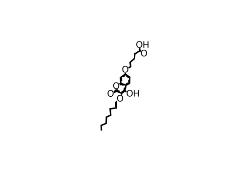 CCCCCC/C=C/Oc1c(O)c2ccc(OCCCCC(=O)O)cc2oc1=O